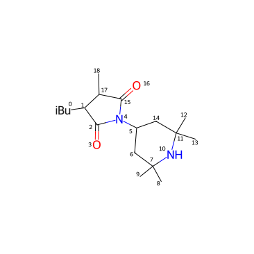 CCC(C)C1C(=O)N(C2CC(C)(C)NC(C)(C)C2)C(=O)C1C